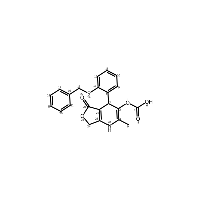 CC1=C(OC(=O)O)C(c2ccccc2SCc2ccccc2)C2=C(COC2=O)N1